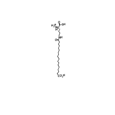 O=C(O)CCCCCCCCCCCCCCCCC(=O)NCCCC[C@H](NP)C(=O)S